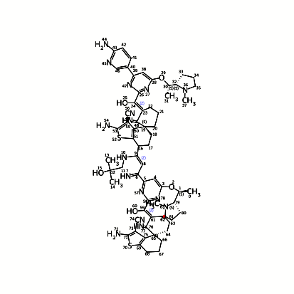 C[C@H](Oc1cc(C(=N)/C=C(\NCC(C)(C)O)C2CC[C@@]3(CCC/C(=C(/O)c4nc(O[C@@H](C)[C@@H]5CCCN5C)cc(-c5ccc(N)nc5)n4)C3=N)c3c2sc(N)c3C#N)nc(/C(O)=C2\CCC[C@@]3(CCCc4sc(N)c(C#N)c43)C2=N)n1)[C@@H]1CCCN1C